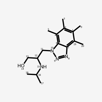 Cc1c(C)c(C)c2c(nnn2CC(CO)NC(C)C)c1C